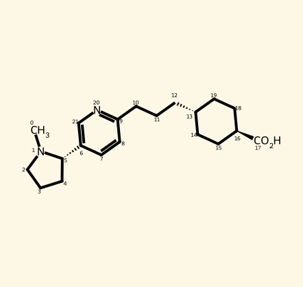 CN1CCC[C@H]1c1ccc(CCC[C@H]2CC[C@H](C(=O)O)CC2)nc1